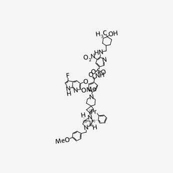 COc1ccc(CN2C[C@@H]3C[C@H]2[C@@H](c2ccccc2C(C)C)N3C2CC3(CCN(c4ccc(C(=O)NS(=O)(=O)c5cnc(NCC6CCC(C)(O)CC6)c([N+](=O)[O-])c5)c(Oc5cc6c(F)c[nH]c6nc5OC)c4)CC3)C2)cc1